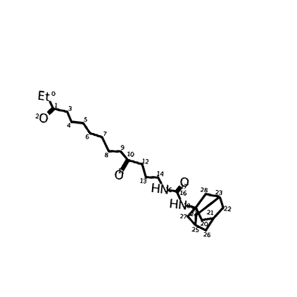 CCC(=O)CCCCCCCC(=O)CCCNC(=O)NC12CC3CC(CC(C3)C1)C2